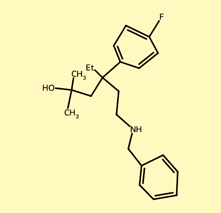 CCC(CCNCc1ccccc1)(CC(C)(C)O)c1ccc(F)cc1